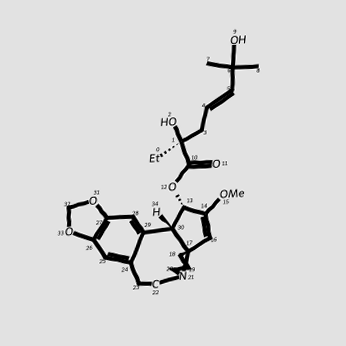 CC[C@](O)(C/C=C/C(C)(C)O)C(=O)O[C@@H]1C(OC)=C[C@]23CCCN2CCc2cc4c(cc2[C@H]13)OCO4